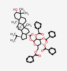 C=C(C)[C@@H]1CC[C@]2(C(=O)O[C@@H]3OC(COC(=O)c4ccccc4)[C@@H](OC(=O)c4ccccc4)C(OC(=O)c4ccccc4)C3OC(=O)c3ccccc3)CC[C@]3(C)C(CCC4[C@@]5(C)CC[C@H](O)C(C)(C)C5CC[C@]43C)C12